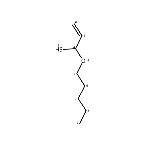 C=CC(S)OCCCCC